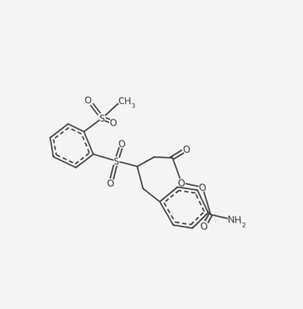 CS(=O)(=O)c1ccccc1S(=O)(=O)C(CC(=O)OOC(N)=O)Cc1ccccc1